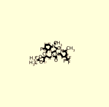 Cc1cc(C(F)(F)F)cc(N2C(=O)N(CCC3COC(C)(C)O3)C[C@H]2C(=O)N(C)c2ccc(F)c(Cl)c2)n1